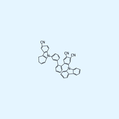 N#Cc1ccc2c(c1)c1c(n2-c2cccc(-c3ccccc3-c3cc(C#N)c(C#N)cc3-n3c4ccccc4c4ccccc43)c2)C=CCC1